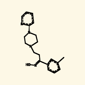 Cc1cccc(C(CCN2CCN(c3ccccn3)CC2)=NO)c1